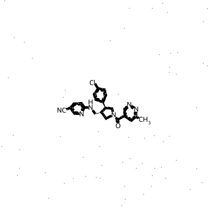 Cc1cc(C(=O)N2C[C@H](CNc3ccc(C#N)cn3)[C@@H](c3ccc(Cl)cc3)C2)cnn1